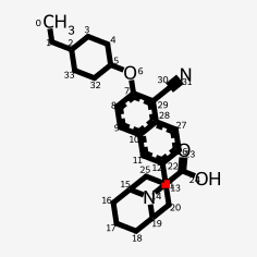 CCC1CCC(Oc2ccc3cc(CN4C5CCCC4CC(C(=O)O)C5)ccc3c2C#N)CC1